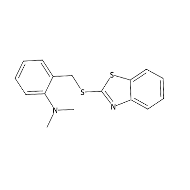 CN(C)c1ccccc1CSc1nc2ccccc2s1